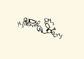 CCOc1cc(CN2CCC(NC(=O)c3cccc(S(C)(=O)=O)c3)CC2)cc(OCC)c1C1CC1